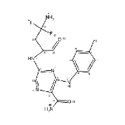 Cc1ccc(Nc2nc(NC(C=O)CC(N)(F)F)cnc2C(N)=O)cc1